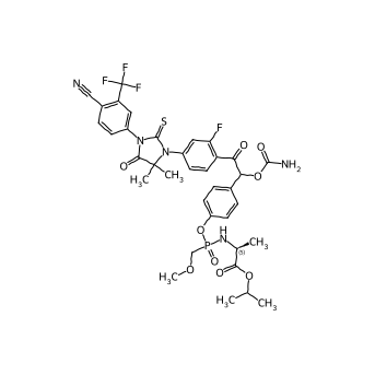 COCP(=O)(N[C@@H](C)C(=O)OC(C)C)Oc1ccc(C(OC(N)=O)C(=O)c2ccc(N3C(=S)N(c4ccc(C#N)c(C(F)(F)F)c4)C(=O)C3(C)C)cc2F)cc1